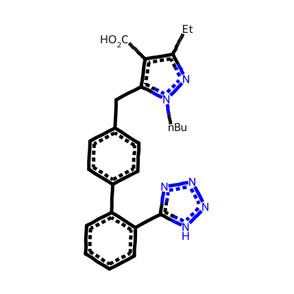 CCCCn1nc(CC)c(C(=O)O)c1Cc1ccc(-c2ccccc2-c2nnn[nH]2)cc1